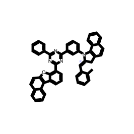 Cc1ccccc1/C=C1\Cc2ccc3ccccc3c2N1c1cccc(-c2nc(-c3ccccc3)nc(-c3cccc4c3oc3ccc5ccccc5c34)n2)c1